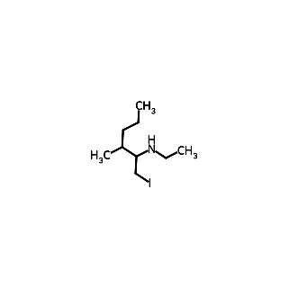 CCCC(C)C(CI)NCC